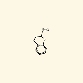 O=NC1CCc2ccccc2S1